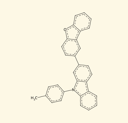 Cc1ccc(-n2c3ccccc3c3ccc(-c4ccc5oc6ccccc6c5c4)cc32)cc1